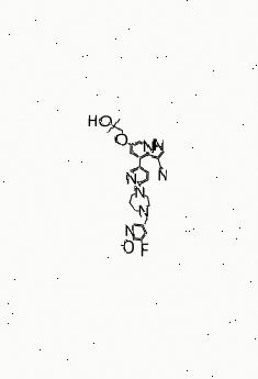 COc1ncc(CN2CCCN(c3ccc(-c4cc(OCC(C)(C)O)cn5ncc(C#N)c45)cn3)CC2)cc1F